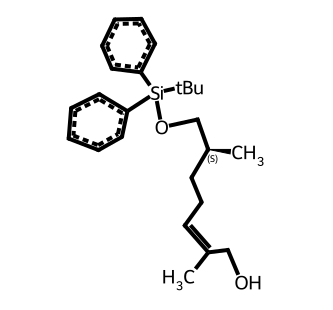 CC(=CCC[C@H](C)CO[Si](c1ccccc1)(c1ccccc1)C(C)(C)C)CO